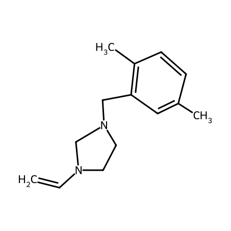 C=CN1CCN(Cc2cc(C)ccc2C)C1